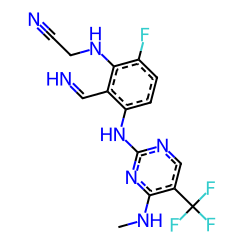 CNc1nc(Nc2ccc(F)c(NCC#N)c2C=N)ncc1C(F)(F)F